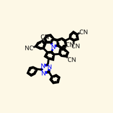 N#Cc1cc(C#N)cc(-c2cc(-c3nc(-c4ccccc4)nc(-c4ccccc4)n3)cc(-c3cc(C#N)cc(C#N)c3)c2-n2c3ccccc3c3cc(-c4ccc(C#N)cc4C#N)ccc32)c1